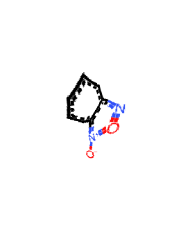 [O-][n+]1onc2c[c]ccc21